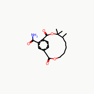 CC1CCCCOC(=O)c2ccc(c(C(N)=O)c2)C(=O)OC1(C)C